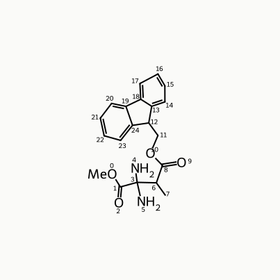 COC(=O)C(N)(N)C(C)C(=O)OCC1c2ccccc2-c2ccccc21